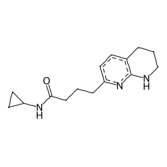 O=C(CCCc1ccc2c(n1)NCCC2)NC1CC1